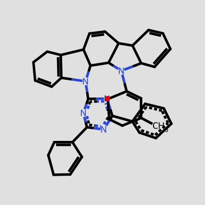 CC1C=C(N2C3C=CC=CC3C3C=CC4C5=C(C=CCC5)N(c5nc(C6=CCCC=C6)nc(-c6ccccc6)n5)C4C32)CCC1